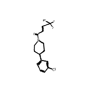 O=C(CCC(F)(F)F)N1CCC(c2cccc(Cl)c2)CC1